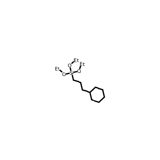 CCO[Si](CCCC1CCCCC1)(OCC)OCC